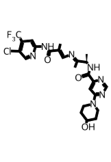 C/C(=C\N=C(/C)[C@@H](C)NC(=O)c1cc(N2CCC(O)CC2)ncn1)C(=O)Nc1cc(C(F)(F)F)c(Cl)cn1